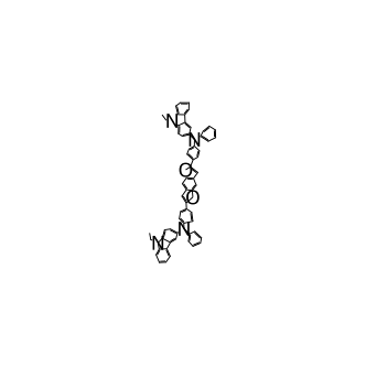 CCn1c2ccccc2c2cc(N(c3ccccc3)c3ccc(-c4cc5cc6oc(-c7ccc(N(c8ccccc8)c8ccc9c(c8)c8ccccc8n9CC)cc7)cc6cc5o4)cc3)ccc21